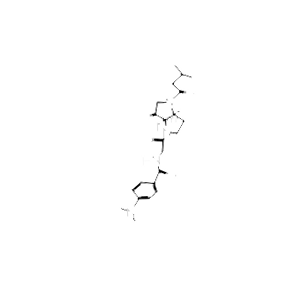 CC(C)CC(=O)N1CC(=O)[C@@H]2[C@H]1CCN2C(=O)CNC(=O)c1ccc(N(C)C)cc1